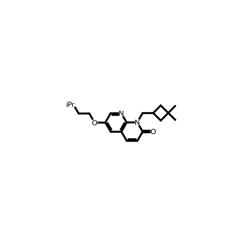 CC(C)CCOc1cnc2c(ccc(=O)n2CC2CC(C)(C)C2)c1